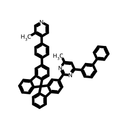 Cc1cc(-c2cccc(-c3ccccc3)c2)nc(-c2ccc3c(c2)C2(c4ccccc4-c4cc(-c5ccc(-c6ccncc6C)cc5)ccc42)c2ccccc2-3)n1